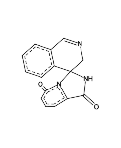 O=C1NC2(CN=Cc3ccccc32)n2c1cccc2=O